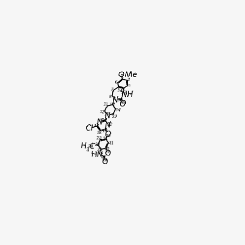 COc1ccc2c(c1)CCN(C1CCN(c3nc(Cl)cc(OC4=CC(C)C5NC(=O)OC5=C4)n3)CC1)C(=O)N2